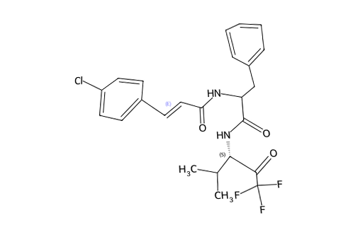 CC(C)[C@H](NC(=O)C(Cc1ccccc1)NC(=O)/C=C/c1ccc(Cl)cc1)C(=O)C(F)(F)F